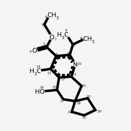 CCOC(=O)c1c(C(C)C)nc2c(c1C)C(O)CC1(CCCC1)C2